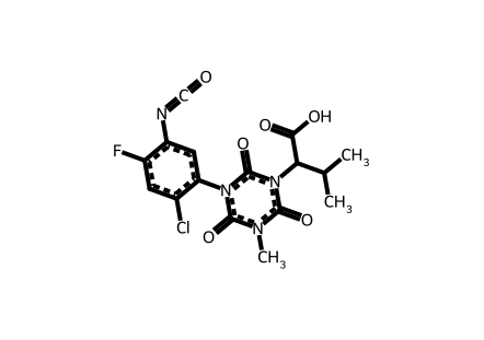 CC(C)C(C(=O)O)n1c(=O)n(C)c(=O)n(-c2cc(N=C=O)c(F)cc2Cl)c1=O